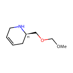 COCOC[C@H]1CC=CCN1